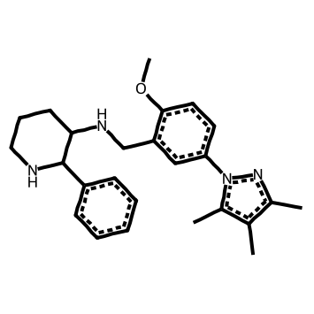 COc1ccc(-n2nc(C)c(C)c2C)cc1CNC1CCCNC1c1ccccc1